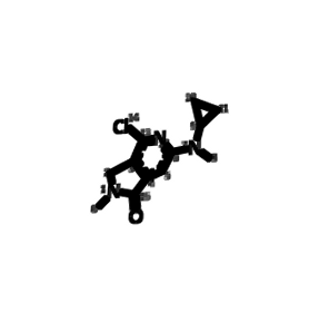 CN1Cc2c(cc(N(C)C3CC3)nc2Cl)C1=O